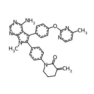 C=C1CCCN(c2ccc(-c3c(-c4ccc(Oc5nccc(C)n5)cc4)c4c(N)ncnc4n3C)cc2)C1=O